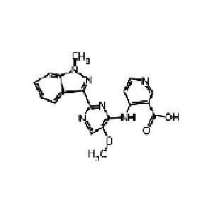 COc1cnc(-c2nn(C)c3ccccc23)nc1Nc1ccncc1C(=O)O